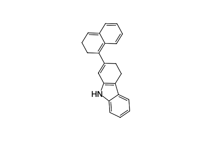 C1=C(C2=c3ccccc3=CCC2)CCc2c1[nH]c1ccccc21